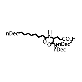 CCCCCCCCCCCCCCCCCC(=O)NC(CCC(=O)O)C(=O)N(CCCCCCCCCC)CCCCCCCCCC